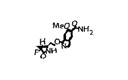 COc1cc2c(OCC[C@H]3NC(=O)[C@]4(F)C[C@H]34)nccc2cc1C(N)=O